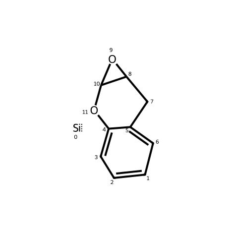 [Si].c1ccc2c(c1)CC1OC1O2